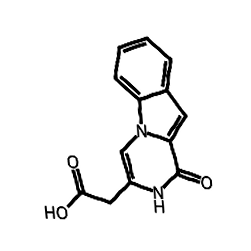 O=C(O)Cc1cn2c(cc3ccccc32)c(=O)[nH]1